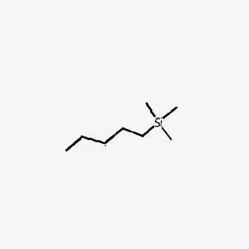 CC[CH]CC[Si](C)(C)C